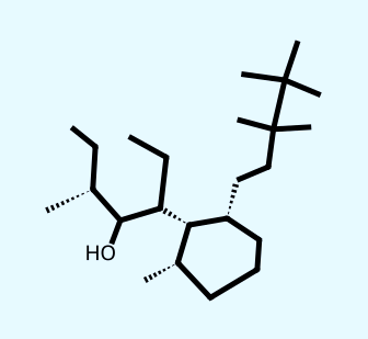 CCC(C(O)[C@H](C)CC)[C@@H]1[C@H](CCC(C)(C)C(C)(C)C)CCC[C@@H]1C